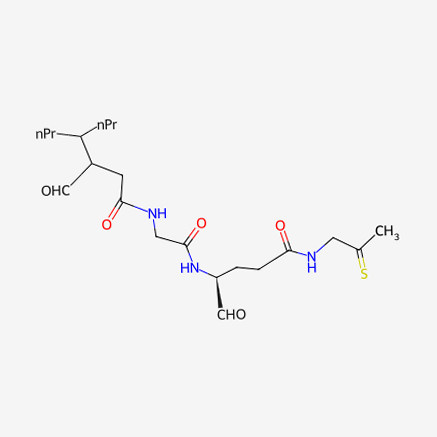 CCCC(CCC)C(C=O)CC(=O)NCC(=O)N[C@H](C=O)CCC(=O)NCC(C)=S